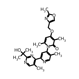 Cc1nc(COc2cc(C)n(-c3cc(-c4nc(C(C)(C)O)ncc4C)ncc3C)c(=O)c2C)co1